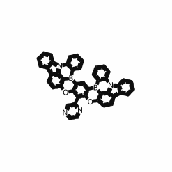 c1ccc2c(c1)B1c3cc4c(c(-c5cnccn5)c3Oc3ccc5c6ccccc6n-2c5c31)Oc1ccc2c3ccccc3n3c2c1B4c1ccccc1-3